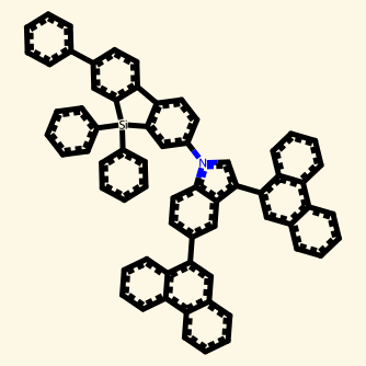 c1ccc(-c2ccc3c(c2)[Si](c2ccccc2)(c2ccccc2)c2cc(-n4cc(-c5cc6ccccc6c6ccccc56)c5cc(-c6cc7ccccc7c7ccccc67)ccc54)ccc2-3)cc1